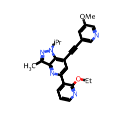 CCOc1ncccc1-c1cc(C#Cc2cncc(OC)c2)c2c(n1)c(C)nn2C(C)C